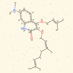 CC(C)=CCCC(C)=CCOc1c(OCC=C(C)C)c2ccc(N(C)C)cc2[nH]c1=O